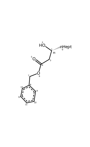 CCCCCCC[C@@H](O)CC(=O)OCc1ccccc1